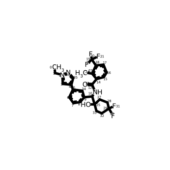 CCn1cc(-c2cccc(C(NC(=O)c3cccc(C(F)(F)F)c3C)C3(O)CCC(F)(F)CC3)c2)cn1